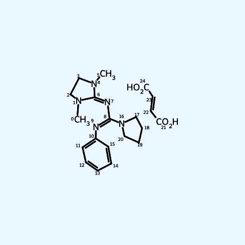 CN1CCN(C)C1=NC(=Nc1ccccc1)N1CCCC1.O=C(O)C=CC(=O)O